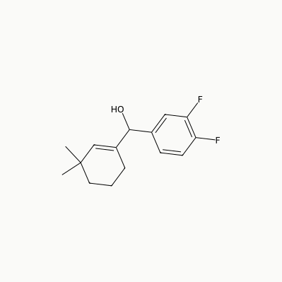 CC1(C)C=C(C(O)c2ccc(F)c(F)c2)CCC1